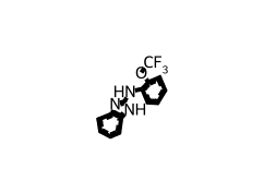 FC(F)(F)Oc1ccccc1Nc1nc2ccccc2[nH]1